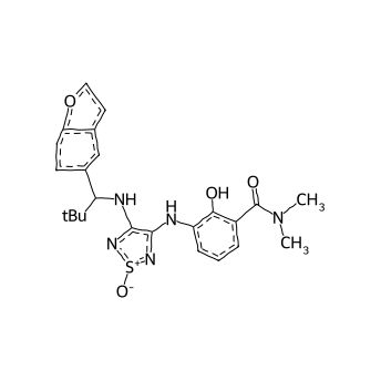 CN(C)C(=O)c1cccc(Nc2n[s+]([O-])nc2NC(c2ccc3occc3c2)C(C)(C)C)c1O